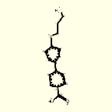 CCCCOc1ccc(-c2ccc(C(=O)O)cc2)cc1